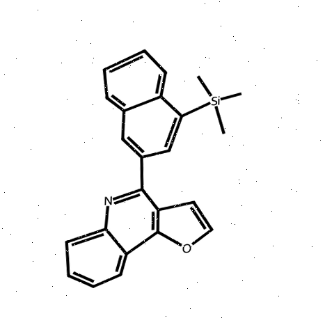 C[Si](C)(C)c1cc(-c2nc3ccccc3c3occc23)cc2ccccc12